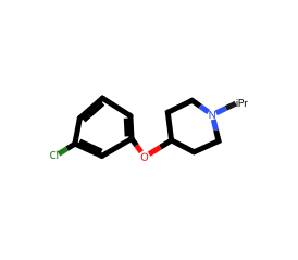 CC(C)N1CCC(Oc2cccc(Cl)c2)CC1